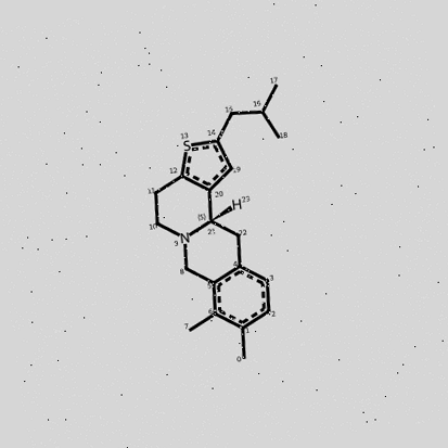 Cc1ccc2c(c1C)CN1CCc3sc(CC(C)C)cc3[C@@H]1C2